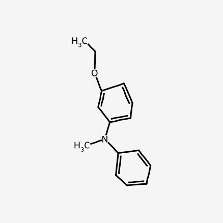 CCOc1cccc(N(C)c2ccccc2)c1